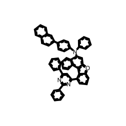 c1ccc(-c2cc(-c3cccc4oc5cc(N(c6ccccc6)c6ccc(-c7ccc8ccccc8c7)cc6)c6ccccc6c5c34)nc(-c3ccccc3)n2)cc1